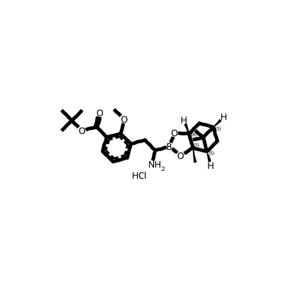 COc1c(CC(N)B2O[C@@H]3C[C@@H]4C[C@@H](C4(C)C)[C@]3(C)O2)cccc1C(=O)OC(C)(C)C.Cl